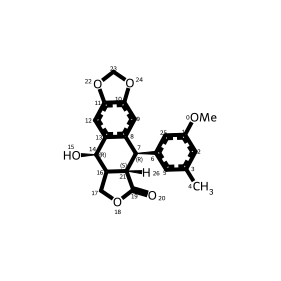 COc1cc(C)cc([C@@H]2c3cc4c(cc3[C@H](O)C3COC(=O)[C@H]32)OCO4)c1